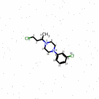 CC(CCCl)N1CCN(c2cccc(Cl)c2)CC1